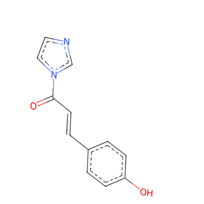 O=C(/C=C/c1ccc(O)cc1)n1ccnc1